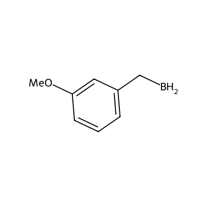 BCc1cccc(OC)c1